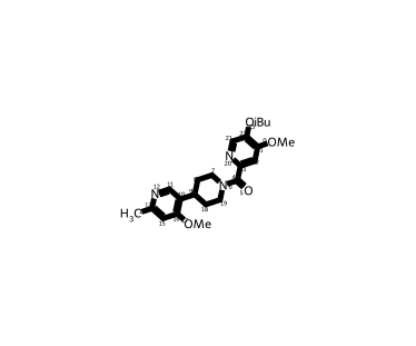 COc1cc(C(=O)N2CCC(c3cnc(C)cc3OC)CC2)ncc1OCC(C)C